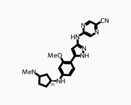 CNC1CC[C@H](Nc2ccc(-c3cc(Nc4cnc(C#N)cn4)n[nH]3)c(OC)c2)C1